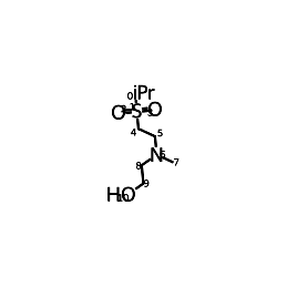 CC(C)S(=O)(=O)CCN(C)CCO